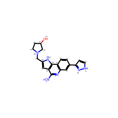 Nc1nc2cc(-c3cc[nH]n3)ccc2c2[nH]c(CN3CC[C@@H](O)C3)cc12